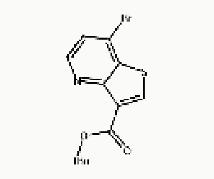 CC(C)(C)OC(=O)c1csc2c(Br)ccnc12